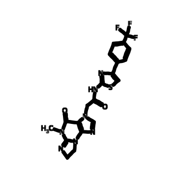 CN1C(=O)c2c(ncn2CC(=O)Nc2nc(-c3ccc(C(F)(F)F)cc3)cs2)N2CCN=C12